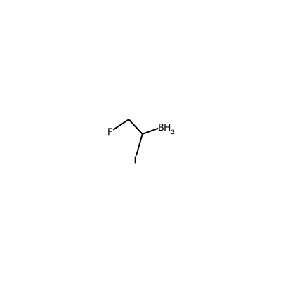 BC(I)CF